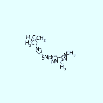 Cc1nn(C)cc1-c1ccc(CNSC2C3CN(CCC(C)(C)C)CC32)nn1